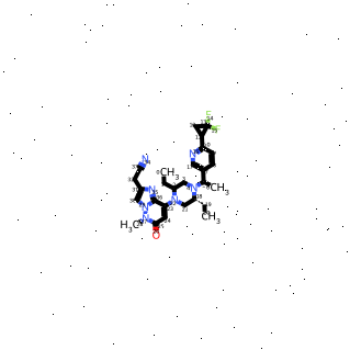 CCC1CN(C(C)c2ccc(C3CC3(F)F)nc2)[C@H](CC)CN1c1cc(=O)n(C)n2cc(CC#N)nc12